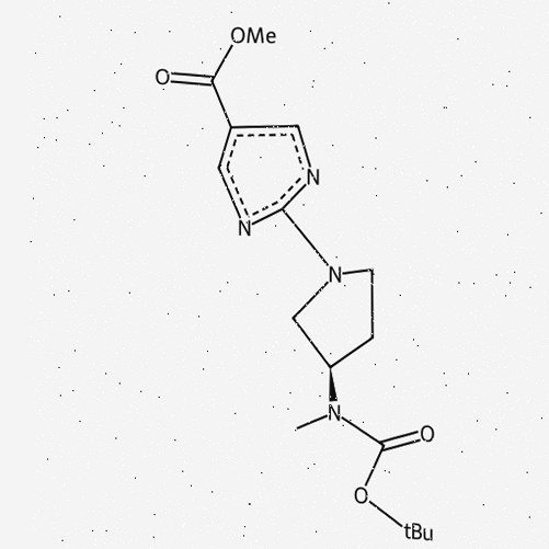 COC(=O)c1cnc(N2CC[C@@H](N(C)C(=O)OC(C)(C)C)C2)nc1